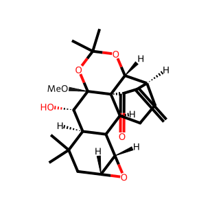 C=C1C(=O)[C@@]23[C@@H]4OC(C)(C)O[C@@]2(OC)[C@@H](O)[C@H]2C([C@@H]5O[C@@H]5CC2(C)C)[C@@H]3CC[C@@H]14